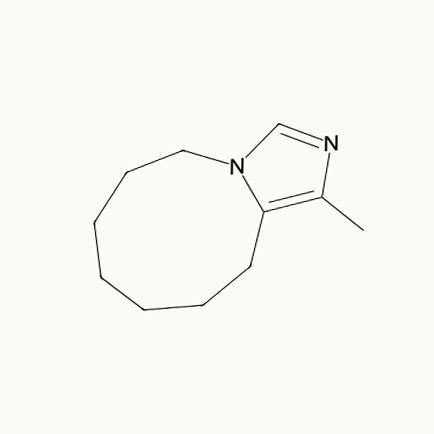 Cc1ncn2c1CCCCCCC2